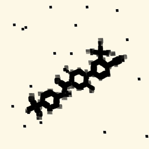 C[C@@H]1CN(c2ccc(C#N)c(C(F)(F)F)c2)[C@@H](C)CN1C(=O)Nc1ccc(S(C)(=O)=O)nc1